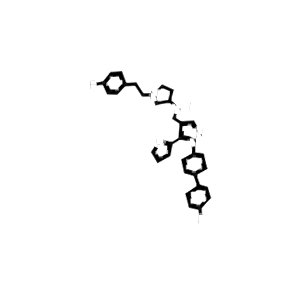 Fc1ccc(CCN2CCC(NCc3cnn(-c4ccc(-c5ccc(F)cc5)cc4)c3-c3ccco3)C2)cc1